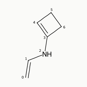 C=CNC1=CCC1